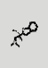 CC(C)[C@@](C)(CN(C)C)c1cc2ccccc2s1